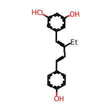 CCC(C=Cc1ccc(O)cc1)=Cc1cc(O)cc(O)c1